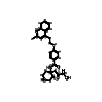 Cc1cc(CCOc2ccc(C(=O)NC3(CC(=O)NO)CCNCC3C)cc2)c2ccccc2n1